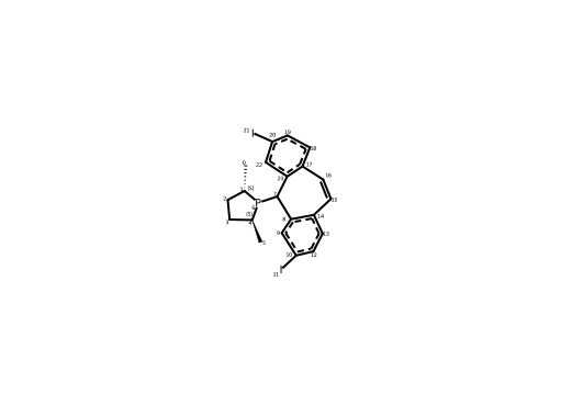 C[C@H]1CC[C@H](C)P1C1c2cc(I)ccc2C=Cc2ccc(I)cc21